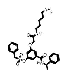 CC(NC(=O)c1cc(OCC(=O)NCCCCCN)cc(OS(=O)(=O)Cc2ccccc2)c1)c1ccccc1